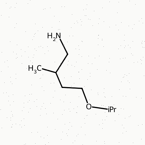 CC(CN)CCOC(C)C